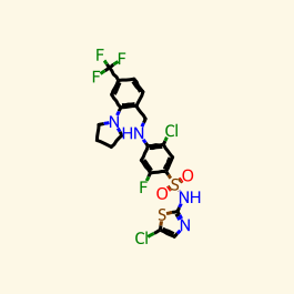 O=S(=O)(Nc1ncc(Cl)s1)c1cc(Cl)c(NCc2ccc(C(F)(F)F)cc2N2CCCC2)cc1F